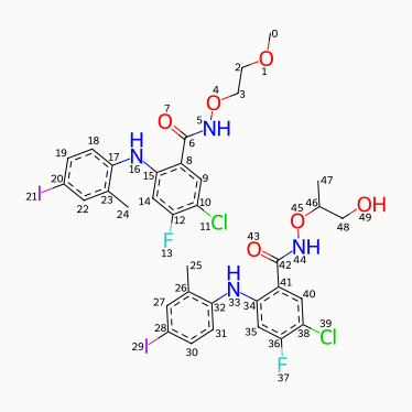 COCCONC(=O)c1cc(Cl)c(F)cc1Nc1ccc(I)cc1C.Cc1cc(I)ccc1Nc1cc(F)c(Cl)cc1C(=O)NOC(C)CO